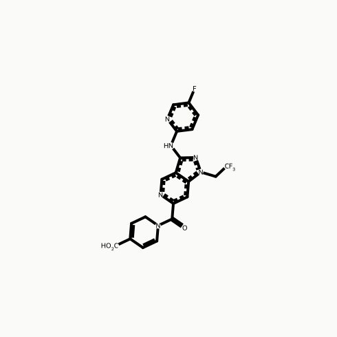 O=C(O)C1=CCN(C(=O)c2cc3c(cn2)c(Nc2ccc(F)cn2)nn3CC(F)(F)F)C=C1